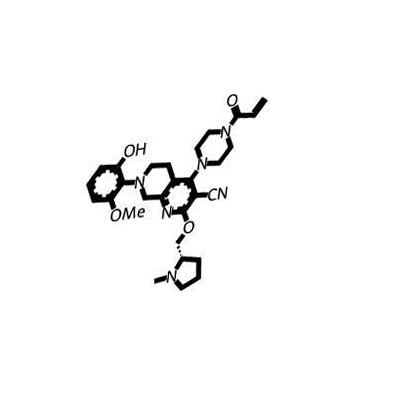 C=CC(=O)N1CCN(c2c(C#N)c(OC[C@@H]3CCCN3C)nc3c2CCN(c2c(O)cccc2OC)C3)CC1